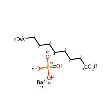 CCCCCCCCCCCCCCCCCC(=O)O.O=P([O-])([O-])O.[Ba+2]